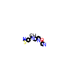 CC(c1ccc2scnc2c1)N1CCc2nc(Oc3cccnc3)ccc2C1